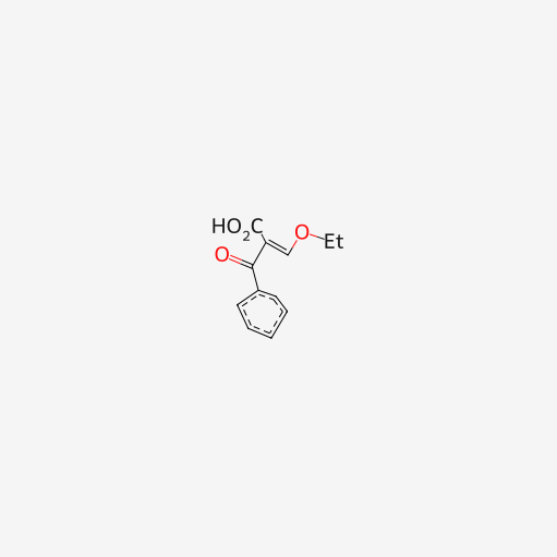 CCOC=C(C(=O)O)C(=O)c1ccccc1